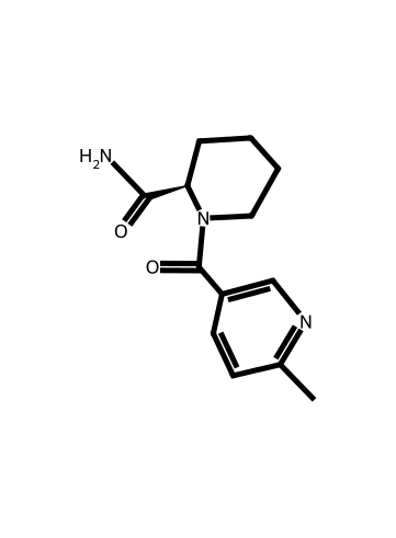 Cc1ccc(C(=O)N2CCCC[C@@H]2C(N)=O)cn1